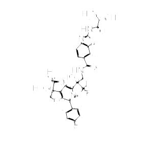 C[C@@H](N)C(=O)Nc1nc2ccc(C(=O)NCC(O)(c3cc4c(c(-c5ccc(F)cc5)n3)OC[C@]4(C)C(N)=O)C(F)(F)F)cc2s1